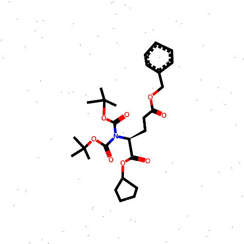 CC(C)(C)OC(=O)N(C(=O)OC(C)(C)C)[C@@H](CCC(=O)OCc1ccccc1)C(=O)OC1CCCC1